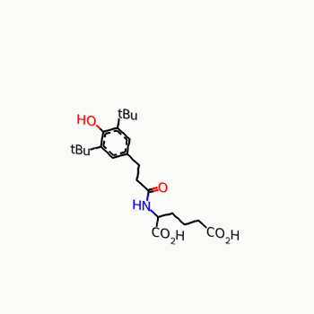 CC(C)(C)c1cc(CCC(=O)NC(CCCC(=O)O)C(=O)O)cc(C(C)(C)C)c1O